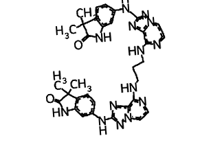 CC1(C)C(=O)Nc2cc(Nc3nc4c(NCCCNc5nccn6nc(Nc7ccc8c(c7)NC(=O)C8(C)C)nc56)nccn4n3)ccc21